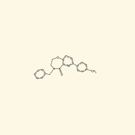 Cc1ccc(-c2ccc3c(n2)C(=O)N(Cc2ccccc2)CCO3)cc1